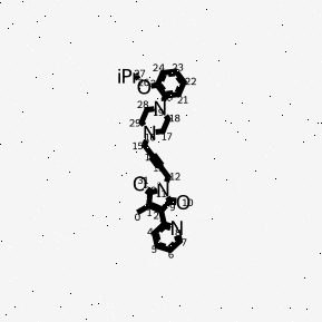 CC1=C(c2ccccn2)C(=O)N(CC#CCN2CCN(c3ccccc3OC(C)C)CC2)C1=O